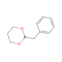 c1ccc(CB2OCCCO2)cc1